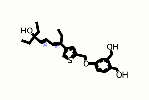 CC/C(=C\C=C\C(O)(CC)CC)c1csc(COc2ccc(CO)c(CO)c2)c1